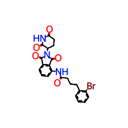 O=C1CCC(N2C(=O)c3cccc(NC(=O)CCCc4ccccc4Br)c3C2=O)C(=O)N1